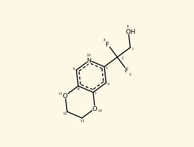 OCC(F)(F)c1cc2c(cn1)OCCO2